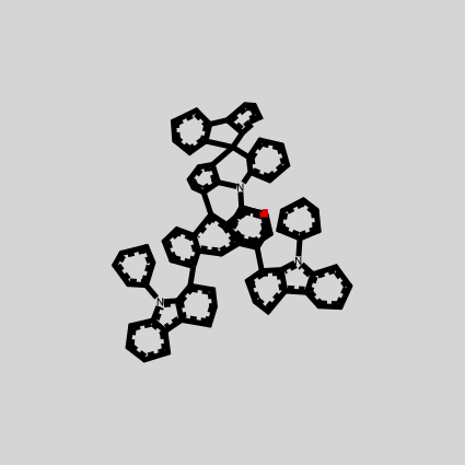 c1ccc(N2c3ccccc3C3(c4ccccc4-c4ccccc43)c3cccc(-c4c5cccc(-c6cccc7c8ccccc8n(-c8ccccc8)c67)c5cc5c(-c6cccc7c8ccccc8n(-c8ccccc8)c67)cccc45)c32)cc1